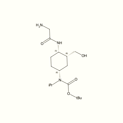 CC(C)N(C(=O)OC(C)(C)C)[C@@H]1CC[C@H](NC(=O)CN)[C@H](CO)C1